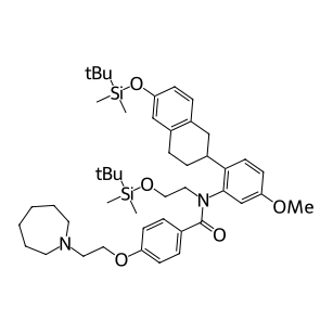 COc1ccc(C2CCc3cc(O[Si](C)(C)C(C)(C)C)ccc3C2)c(N(CCO[Si](C)(C)C(C)(C)C)C(=O)c2ccc(OCCN3CCCCCC3)cc2)c1